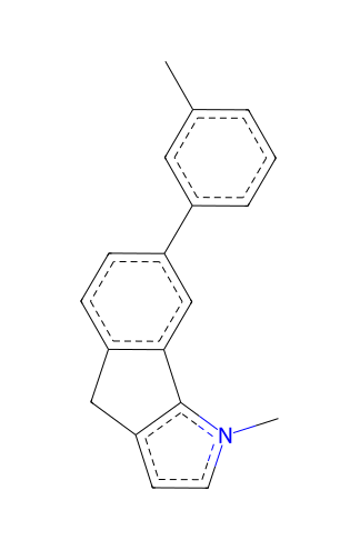 Cc1cccc(-c2ccc3c(c2)-c2c(ccn2C)C3)c1